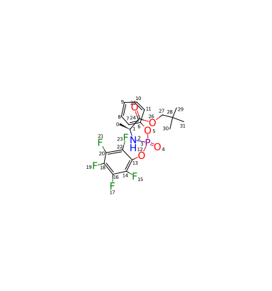 C[C@H](NP(=O)(Oc1ccccc1)Oc1c(F)c(F)c(F)c(F)c1F)C(=O)OCC(C)(C)C